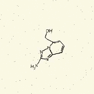 Nc1nc2cccc(CO)n2n1